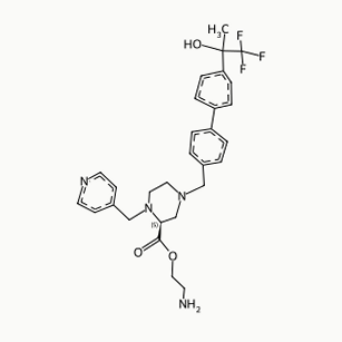 CC(O)(c1ccc(-c2ccc(CN3CCN(Cc4ccncc4)[C@H](C(=O)OCCN)C3)cc2)cc1)C(F)(F)F